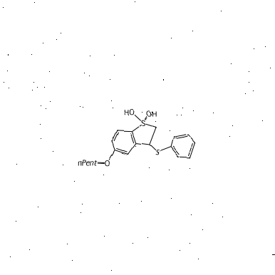 CCCCCOc1ccc2c(c1)C(Sc1ccccc1)CS2(O)O